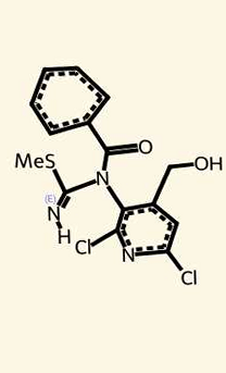 [H]/N=C(/SC)N(C(=O)c1ccccc1)c1c(CO)cc(Cl)nc1Cl